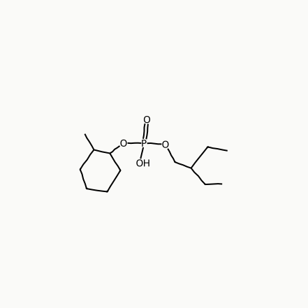 CCC(CC)COP(=O)(O)OC1CCCCC1C